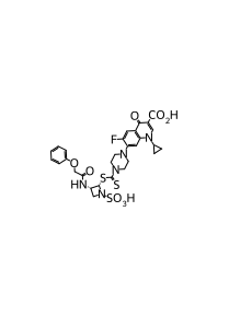 O=C(COc1ccccc1)N[C@H]1CN(S(=O)(=O)O)[C@H]1SC(=S)N1CCN(c2cc3c(cc2F)c(=O)c(C(=O)O)cn3C2CC2)CC1